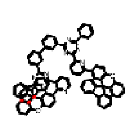 c1ccc(-c2nc(-c3cccc(-c4cccc(-c5nc(-c6ccccc6)nc(-c6cccnc6-c6ccc7c(c6)C6(c8ccccc8O7)c7ccccc7-c7ccccc76)n5)c4)c3)nc(-c3cccc(-c4ccc5c(c4)C4(c6ccccc6O5)c5ccccc5-c5ccccc54)n3)n2)cc1